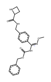 CO/N=C(/NC(=O)OCc1ccccc1)c1ccc(CNC(=O)C2CCN2)cc1